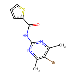 Cc1nc(NC(=O)c2cccs2)nc(C)c1Br